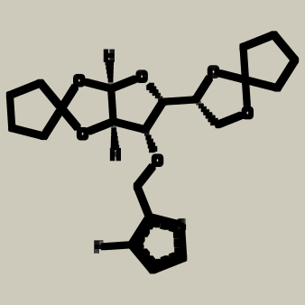 Fc1ccsc1CO[C@@H]1[C@H]2OC3(CCCC3)O[C@H]2O[C@@H]1[C@H]1COC2(CCCC2)O1